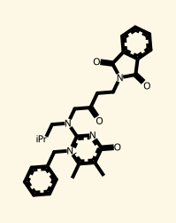 Cc1c(C)n(Cc2ccccc2)c(N(CC(=O)CCN2C(=O)c3ccccc3C2=O)CC(C)C)nc1=O